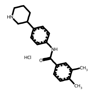 Cc1ccc(C(=O)Nc2ccc(C3CCCNC3)cc2)cc1C.Cl